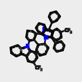 FC(F)(F)c1ccc2c(c1)c1ccccc1n2-c1ccccc1-c1c(-c2nc(-c3ccccc3)cc(-c3ccccc3)n2)cccc1-n1c2ccccc2c2cc(C(F)(F)F)ccc21